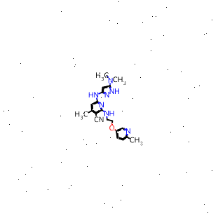 Cc1ccc(OCCNc2nc(Nc3cc(N(C)C)[nH]n3)cc(C)c2C#N)cn1